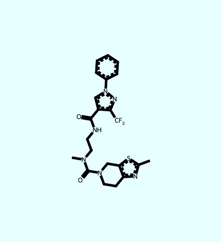 Cc1nc2c(s1)CN(C(=O)N(C)CCNC(=O)c1cn(-c3ccccc3)nc1C(F)(F)F)CC2